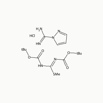 CS/C(=N\C(=O)OC(C)(C)C)NC(=O)OC(C)(C)C.Cl.N=C(N)n1cccn1